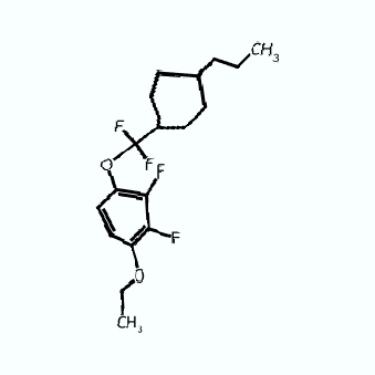 CCCC1CCC(C(F)(F)Oc2ccc(OCC)c(F)c2F)CC1